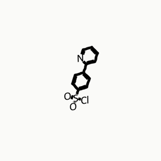 O=S(=O)(Cl)c1ccc(-c2ccccn2)cc1